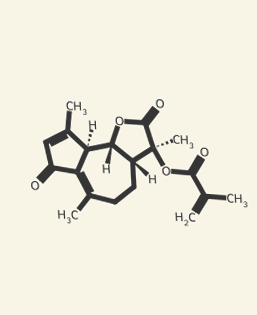 C=C(C)C(=O)O[C@]1(C)C(=O)O[C@H]2[C@@H]3C(C)=CC(=O)C3=C(C)CC[C@H]21